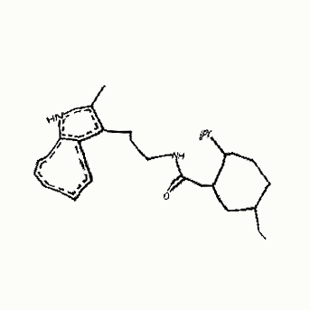 Cc1[nH]c2ccccc2c1CCNC(=O)C1CC(C)CCC1C(C)C